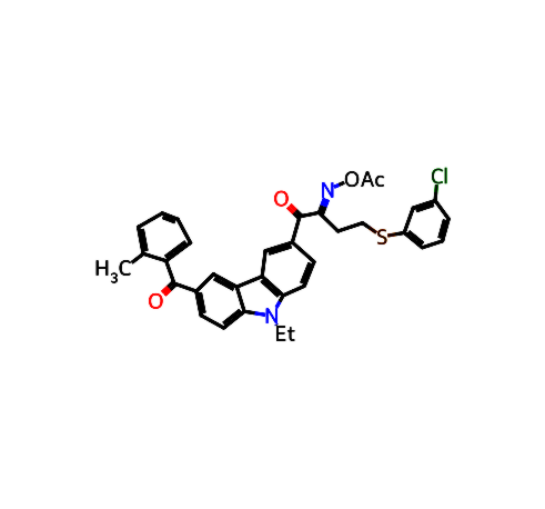 CCn1c2ccc(C(=O)/C(CCSc3cccc(Cl)c3)=N/OC(C)=O)cc2c2cc(C(=O)c3ccccc3C)ccc21